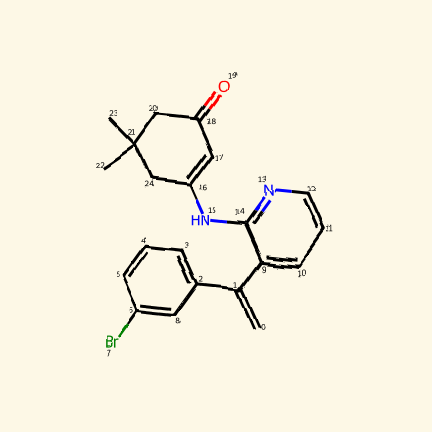 C=C(c1cccc(Br)c1)c1cccnc1NC1=CC(=O)CC(C)(C)C1